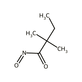 CCC(C)(C)C(=O)N=O